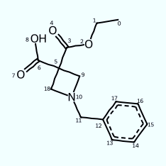 CCOC(=O)C1(C(=O)O)CN(Cc2ccccc2)C1